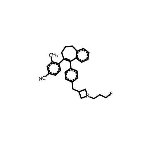 Cc1cc(C#N)ccc1C1=C(c2ccc(CC3CN(CCCF)C3)cc2)c2ccccc2CCC1